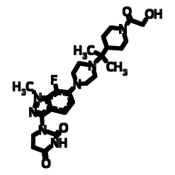 Cn1nc(N2CCC(=O)NC2=O)c2ccc(N3CCN(C(C)(C)C4CCN(C(=O)CO)CC4)CC3)c(F)c21